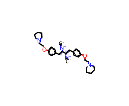 [C-]#[N+]C(=C\c1ccc(OCCN2CCCCC2)cc1)/C(=C/c1ccc(OCCN2CCCCC2)cc1)[N+]#[C-]